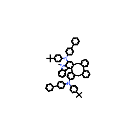 Cn1c2ccccc2c2c3c(cc(N(c4ccc(-c5ccccc5)cc4)c4ccc(C(C)(C)C)cc4)c21)Cc1ccccc1-c1ccccc1Cc1cc(N(c2ccc(-c4ccccc4)cc2)c2ccc(C(C)(C)C)cc2)ccc1-3